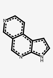 c1cc2c(cn1)cnc1[nH]ccc12